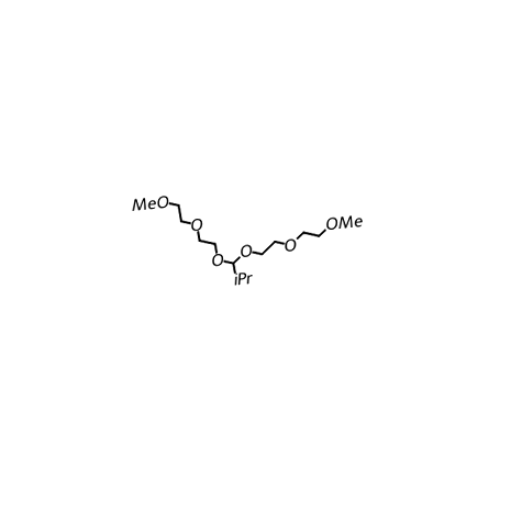 COCCOCCOC(OCCOCCOC)C(C)C